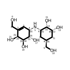 OCC1=C[C@H](N[C@H]2C[C@H](CO)[CH][C@@H](O)[C@H]2O)[C@H](O)[C@@H](O)[C@H]1O